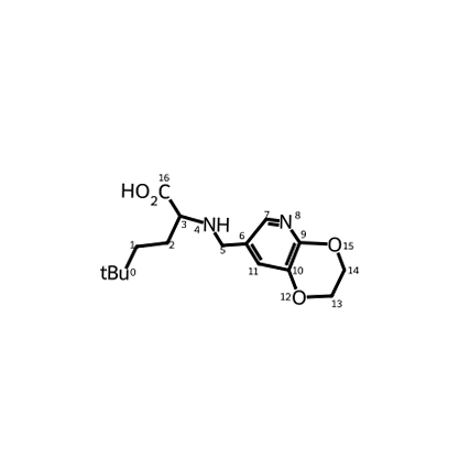 CC(C)(C)CCC(NCc1cnc2c(c1)OCCO2)C(=O)O